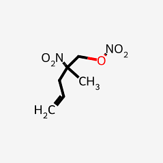 C=CCC(C)(CO[N+](=O)[O-])[N+](=O)[O-]